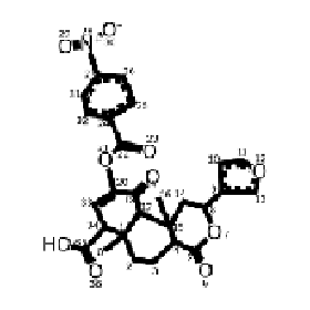 CC12CCC3C(=O)OC(c4ccoc4)CC3(C)C1C(=O)C(OC(=O)c1ccc([N+](=O)[O-])cc1)=CC2C(=O)O